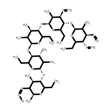 [4H]/P=N\C1[C@H](C)OC(CC)[C@@H](O[C@@H]2OC(CC)[C@@H](O[C@@H]3OC(CC)[C@@H](O[C@@H]4OC(CC)[C@@H](O[C@@H]5OC(CC)[C@@H](P=[18O])[C@H](P=[19O])C5C)[C@H](P=[15O])C4C)[C@H](C)C3C)[C@H](C)C2C)[C@@H]1C